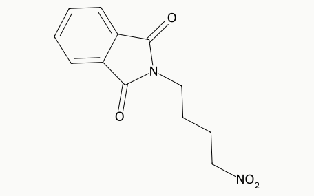 O=C1c2ccccc2C(=O)N1CCCC[N+](=O)[O-]